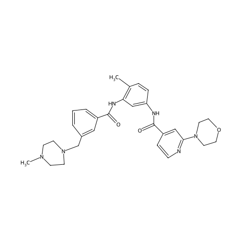 Cc1ccc(NC(=O)c2ccnc(N3CCOCC3)c2)cc1NC(=O)c1cccc(CN2CCN(C)CC2)c1